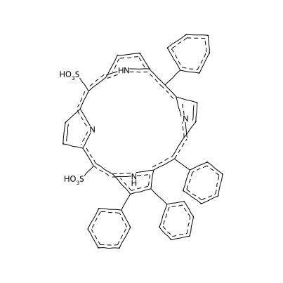 O=S(=O)(O)c1c2nc(c(S(=O)(=O)O)c3[nH]c(c(-c4ccccc4)c4nc(c(-c5ccccc5)c5ccc1[nH]5)C=C4)c(-c1ccccc1)c3-c1ccccc1)C=C2